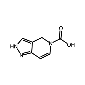 O=C(O)N1C=Cc2n[nH]cc2C1